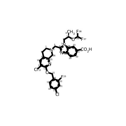 C[C@H](Cn1c(CN2CCc3cc(Cl)c(OCc4ccc(Cl)cc4F)nc3C2)nc2ccc(C(=O)O)cc21)OC(F)F